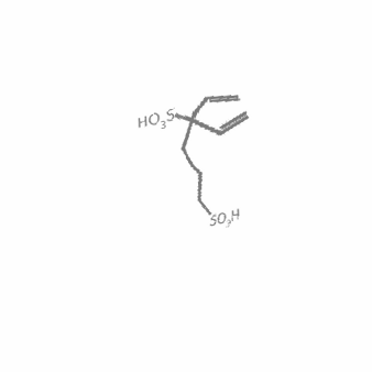 C=CC(C=C)(CCCS(=O)(=O)O)S(=O)(=O)O